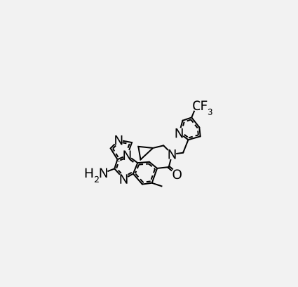 Cc1cc2nc(N)c3cncn3c2cc1C(=O)N(Cc1ccc(C(F)(F)F)cn1)CC1CC1